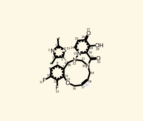 Cc1nc(C)c([C@H]2c3ccc(F)c(F)c3OC/C=C\CN3CN2n2ccc(=O)c(O)c2C3=O)s1